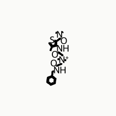 Cc1csc(C(=O)N(C)C)c1NC(=O)C[N+](C)(C)CC(=O)NCc1ccccc1